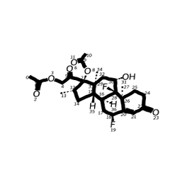 CC(=O)OCC(=O)[C@]1(OC(C)=O)[C@@H](C)C[C@H]2[C@@H]3C[C@H](F)C4=CC(=O)CC[C@]4(C)[C@@]3(F)[C@@H](O)C[C@@]21C